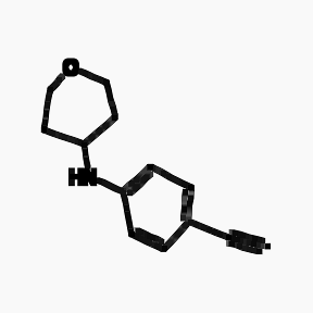 [C]#Cc1ccc(NC2CCOCC2)cc1